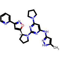 Cc1cc(Nc2cc(N3CCCC3)nc(N3CCC[C@H]3c3cc(-c4ccccn4)no3)n2)n[nH]1